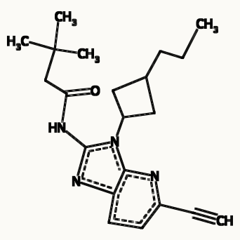 C#Cc1ccc2nc(NC(=O)CC(C)(C)C)n(C3CC(CCC)C3)c2n1